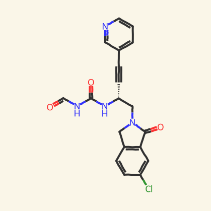 O=CNC(=O)N[C@H](C#Cc1cccnc1)CN1Cc2ccc(Cl)cc2C1=O